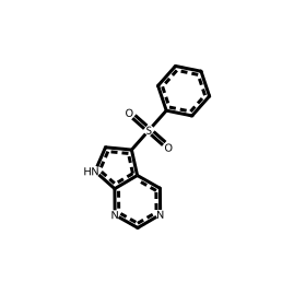 O=S(=O)(c1ccccc1)c1c[nH]c2ncncc12